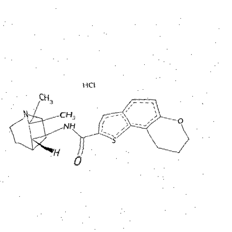 CC1(C)[C@H](NC(=O)c2cc3ccc4c(c3s2)CCCO4)C2CCN1CC2.Cl